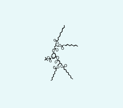 CCCCCCCCC(=O)OCC(COC(=O)CCCCCCCC)CC(=O)O[C@@H]1C[C@@H](OC(=O)CC(COC(=O)CCCCCCCC)COC(=O)CCCCCCCC)CN(C(=O)OC(C)(C)C)C1